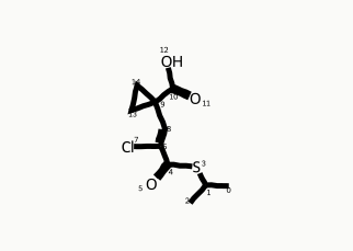 CC(C)SC(=O)C(Cl)=CC1(C(=O)O)CC1